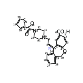 O=C(O)c1ccc2c(c1)/C(=C\CN1CCN(S(=O)(=O)c3cccs3)CC1)c1ccccc1CO2